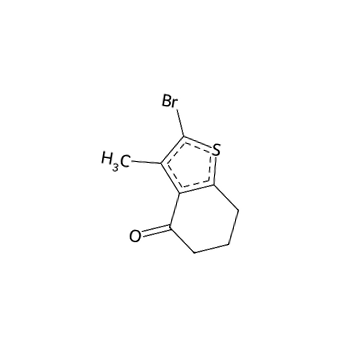 Cc1c(Br)sc2c1C(=O)CCC2